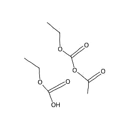 CCOC(=O)O.CCOC(=O)OC(C)=O